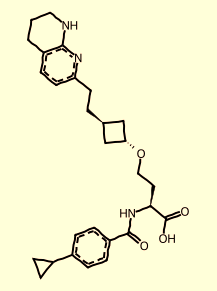 O=C(N[C@@H](CCO[C@H]1C[C@H](CCc2ccc3c(n2)NCCC3)C1)C(=O)O)c1ccc(C2CC2)cc1